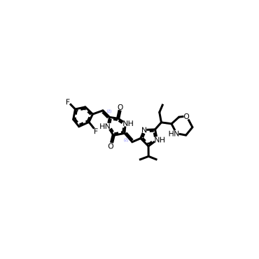 CCC(c1nc(/C=c2\[nH]c(=O)/c(=C/c3cc(F)ccc3F)[nH]c2=O)c(C(C)C)[nH]1)C1COCCN1